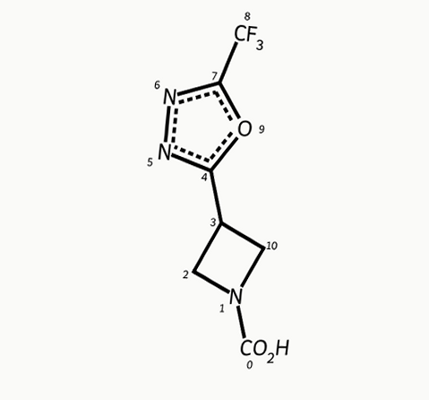 O=C(O)N1CC(c2nnc(C(F)(F)F)o2)C1